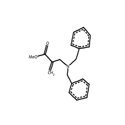 C=C(CN(Cc1ccccc1)Cc1ccccc1)C(=O)OC